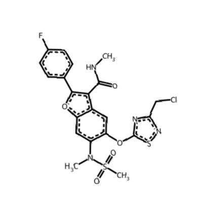 CNC(=O)c1c(-c2ccc(F)cc2)oc2cc(N(C)S(C)(=O)=O)c(Oc3nc(CCl)ns3)cc12